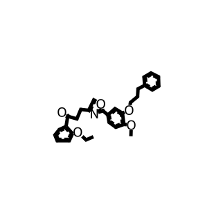 CCOc1ccccc1C(=O)CCc1coc(-c2ccc(OC)c(OCCCc3ccccc3)c2)n1